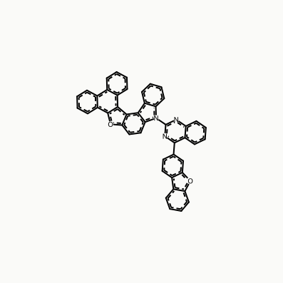 c1ccc2c(-c3ccc4c(c3)oc3ccccc34)nc(-n3c4ccccc4c4c5c(ccc43)oc3c4ccccc4c4ccccc4c35)nc2c1